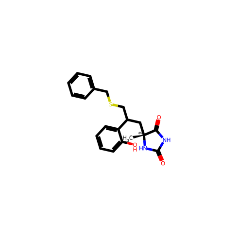 C[C@]1(CC(CSCc2ccccc2)c2ccccc2O)NC(=O)NC1=O